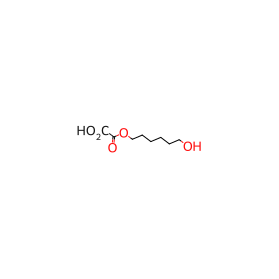 O=C(O)C(=O)OCCCCCCO